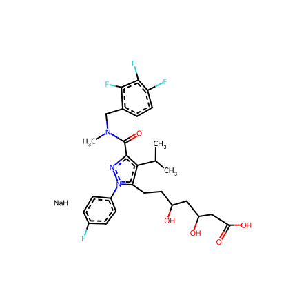 CC(C)c1c(C(=O)N(C)Cc2ccc(F)c(F)c2F)nn(-c2ccc(F)cc2)c1CCC(O)CC(O)CC(=O)O.[NaH]